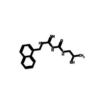 CC(O)CNC(=O)NC(=N)NCc1cccc2ccccc12